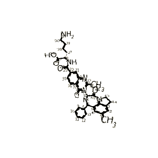 Cc1cc2c3c(c1)C(c1ccccc1)=NC(n1c(C)nc4cc(C(=O)N[C@@H](CCCCN)C(=O)O)ccc4c1=O)C(=O)N3CC2